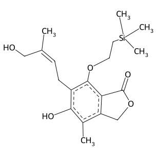 CC(=CCc1c(O)c(C)c2c(c1OCC[Si](C)(C)C)C(=O)OC2)CO